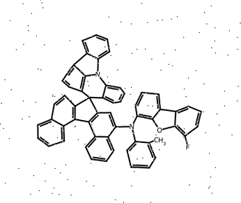 Cc1ccccc1N(c1cc2c(c3ccccc13)-c1c(ccc3ccccc13)C21c2ccccc2-n2c3ccccc3c3cccc1c32)c1cccc2c1oc1c(F)cccc12